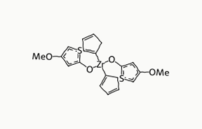 COc1csc([O][Zr]([O]c2cc(OC)cs2)([C]2=CC=CC2)[C]2=CC=CC2)c1